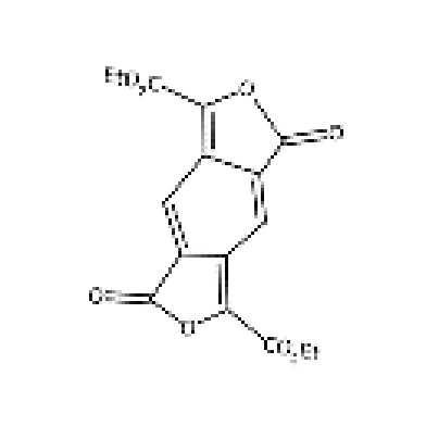 CCOC(=O)C1=c2cc3c(cc2C(=O)O1)=C(C(=O)OCC)OC3=O